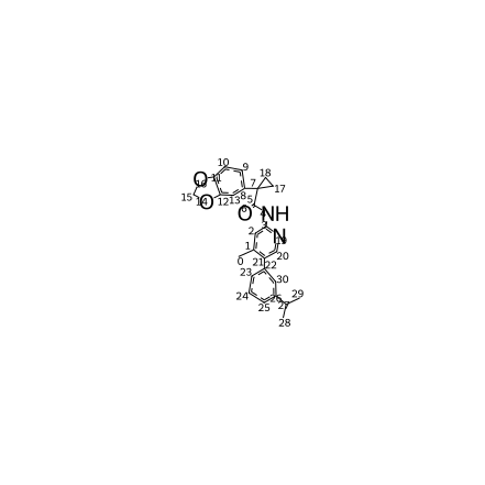 Cc1cc(NC(=O)C2(c3ccc4c(c3)OCO4)CC2)ncc1-c1cccc(C(C)C)c1